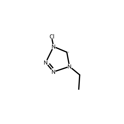 CCN1[CH]N(Cl)N=N1